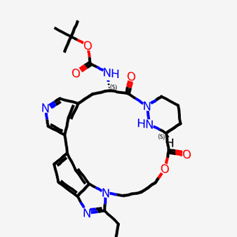 CCc1nc2ccc3cc2n1CCCOC(=O)[C@@H]1CCCN(N1)C(=O)[C@@H](NC(=O)OC(C)(C)C)Cc1cncc-3c1